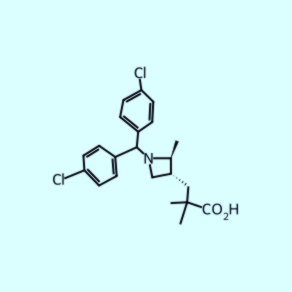 C[C@H]1[C@H](CC(C)(C)C(=O)O)CN1C(c1ccc(Cl)cc1)c1ccc(Cl)cc1